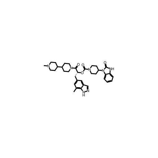 Cc1cc(C[C@@H](OC(=O)N2CCC(n3c(=O)[nH]c4ccccc43)CC2)C(=O)N2CCC(C3CCN(C)CC3)CC2)cc2cn[nH]c12